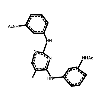 CC(=O)Nc1cccc(Nc2ncc(F)c(Nc3cccc(NC(C)=O)c3)n2)c1